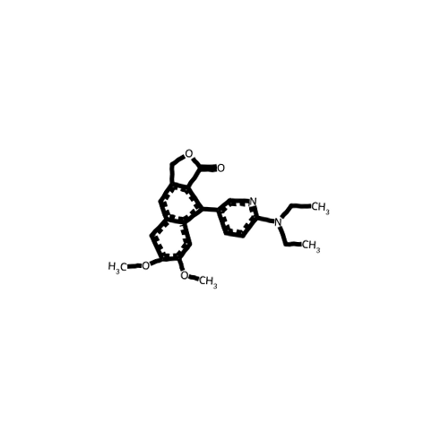 CCN(CC)c1ccc(-c2c3c(cc4cc(OC)c(OC)cc24)COC3=O)cn1